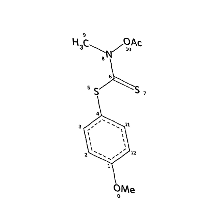 COc1ccc(SC(=S)N(C)OC(C)=O)cc1